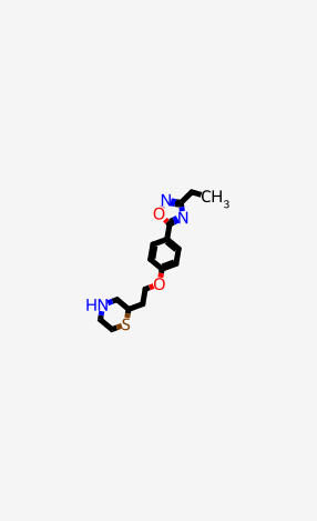 CCc1noc(-c2ccc(OCCC3CNCCS3)cc2)n1